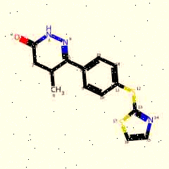 CC1CC(=O)NN=C1c1ccc(Sc2nccs2)cc1